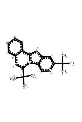 CC(C)(C)c1cc2nc3c4ccccc4nc(C(C)(C)C)n3c2cn1